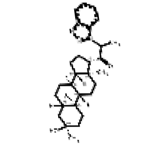 CC(C(=O)[C@H]1CC[C@H]2[C@@H]3CC[C@H]4C[C@](C)(O)CC[C@]4(C)[C@H]3CC[C@]12C)n1nnc2ccccc21